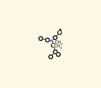 CCC(/C=C\C(C)c1cc(-c2ccccc2)c2ccccc2c1)N(c1ccc(C2=CC3C=C3C=C2)cc1)c1ccc(-c2ccccc2)cc1